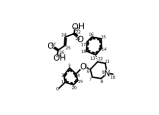 Cc1ccc(O[C@@H]2CCN(C)C[C@H]2c2ccccc2)cc1.O=C(O)C=CC(=O)O